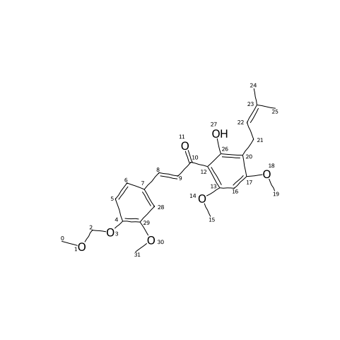 COCOc1ccc(/C=C/C(=O)c2c(OC)cc(OC)c(CC=C(C)C)c2O)cc1OC